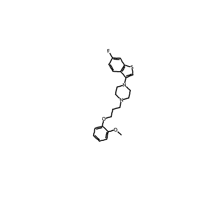 COc1ccccc1OCCCN1CCN(c2csc3cc(F)ccc23)CC1